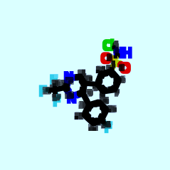 O=S(=O)(NCl)c1cccc(-c2cnc(C(F)(F)F)nc2-c2ccc(F)cc2)c1